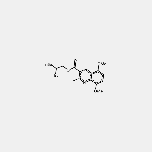 CCCCC(CC)COC(=O)c1cc2c(OC)ccc(OC)c2nc1C